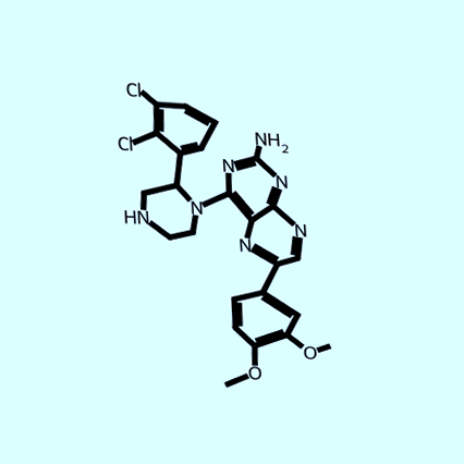 COc1ccc(-c2cnc3nc(N)nc(N4CCNCC4c4cccc(Cl)c4Cl)c3n2)cc1OC